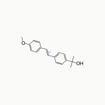 COc1ccc(/C=C/c2ccc(C(C)(C)O)cc2)cc1